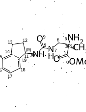 COC(=O)[C@](C)(N)CNC(=O)N[C@@H]1CCc2ccccc21